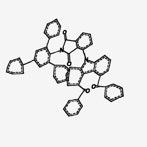 O=C(c1ccccc1)c1cccc2c1c1c(C(=O)c3ccccc3)cccc1n2-c1cccc2c1C(=O)N(c1c(-c3ccccc3)cc(-c3ccccc3)cc1-c1ccccc1)C2=O